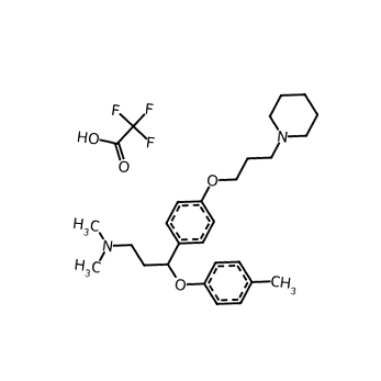 Cc1ccc(OC(CCN(C)C)c2ccc(OCCCN3CCCCC3)cc2)cc1.O=C(O)C(F)(F)F